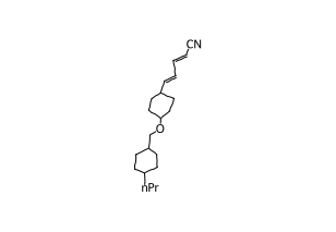 CCCC1CCC(COC2CCC(C=CC=CC#N)CC2)CC1